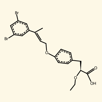 CCO[C@@H](Cc1ccc(OC/C=C(\C)c2cc(Br)cc(Br)c2)cc1)C(=O)O